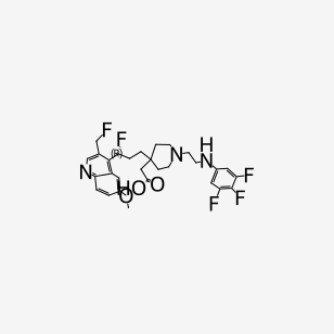 COc1ccc2ncc(CF)c([C@H](F)CCC3(CC(=O)O)CCN(CCNc4cc(F)c(F)c(F)c4)CC3)c2c1